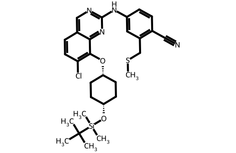 CSCc1cc(Nc2ncc3ccc(Cl)c(O[C@H]4CC[C@@H](O[Si](C)(C)C(C)(C)C)CC4)c3n2)ccc1C#N